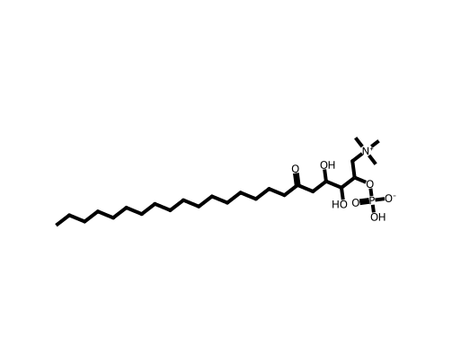 CCCCCCCCCCCCCCCCCC(=O)CC(O)C(O)C(C[N+](C)(C)C)OP(=O)([O-])O